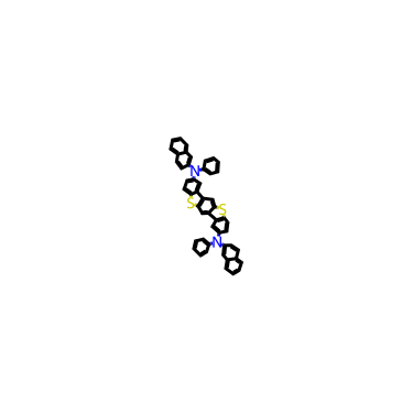 c1ccc(N(c2ccc3ccccc3c2)c2ccc3sc4cc5c(cc4c3c2)sc2ccc(N(c3ccccc3)c3ccc4ccccc4c3)cc25)cc1